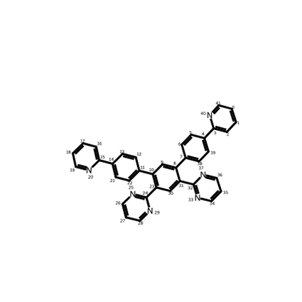 c1ccc(-c2ccc(-c3cc(-c4ccc(-c5ccccn5)cc4)c(-c4ncccn4)cc3-c3ncccn3)cc2)nc1